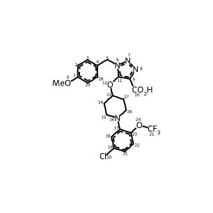 COc1ccc(Cn2nnc(C(=O)O)c2OC2CCN(c3cc(Cl)ccc3OC(F)(F)F)CC2)cc1